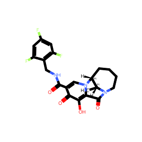 C[C@@H]1[C@H]2CCCCN1C(=O)c1c(O)c(=O)c(C(=O)NCc3c(F)cc(F)cc3F)cn12